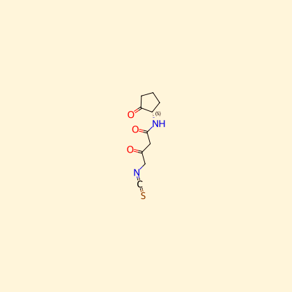 O=C(CN=C=S)CC(=O)N[C@H]1CCCC1=O